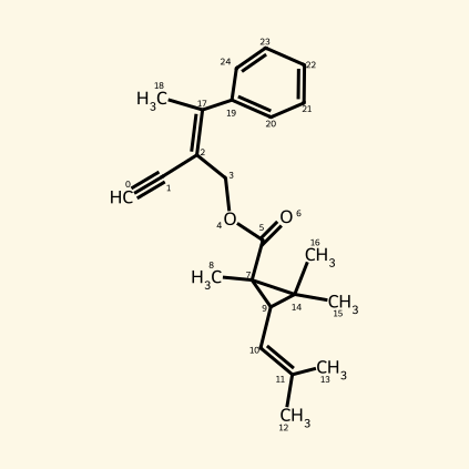 C#CC(COC(=O)C1(C)C(C=C(C)C)C1(C)C)=C(C)c1ccccc1